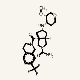 CO[C@@H]1COCC[C@@H]1N[C@@H]1C[C@H]2CN(C(N)=O)C[C@@]2(C(=O)N2CCc3ccc(C(F)(F)F)cc3C2)C1